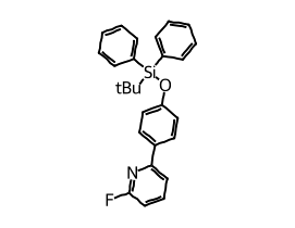 CC(C)(C)[Si](Oc1ccc(-c2cccc(F)n2)cc1)(c1ccccc1)c1ccccc1